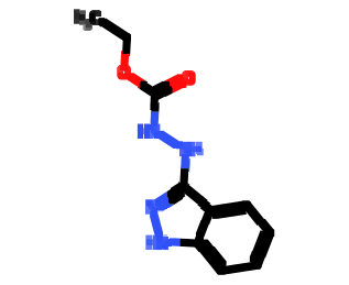 CCOC(=O)NNc1n[nH]c2ccccc12